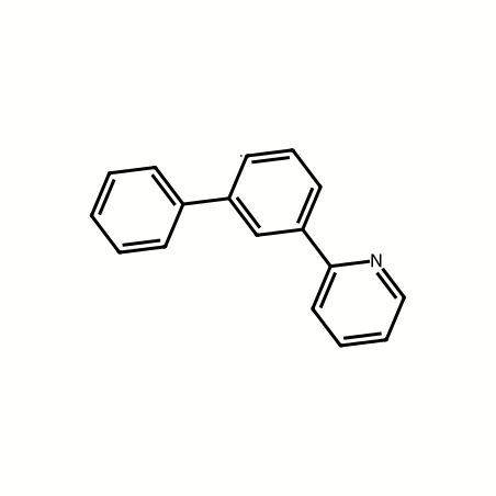 [c]1ccc(-c2ccccn2)cc1-c1ccccc1